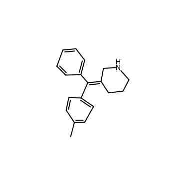 Cc1ccc(/C(=C2\CCCNC2)c2ccccc2)cc1